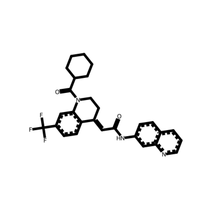 O=C(C=C1CCN(C(=O)C2CCCCC2)c2cc(C(F)(F)F)ccc21)Nc1ccc2cccnc2c1